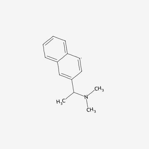 CC(c1c[c]c2ccccc2c1)N(C)C